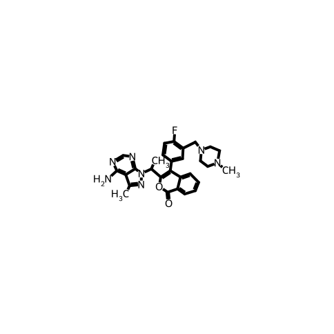 Cc1nn(C(C)c2oc(=O)c3ccccc3c2-c2ccc(F)c(CN3CCN(C)CC3)c2)c2ncnc(N)c12